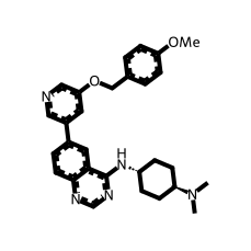 COc1ccc(COc2cncc(-c3ccc4ncnc(N[C@H]5CC[C@H](N(C)C)CC5)c4c3)c2)cc1